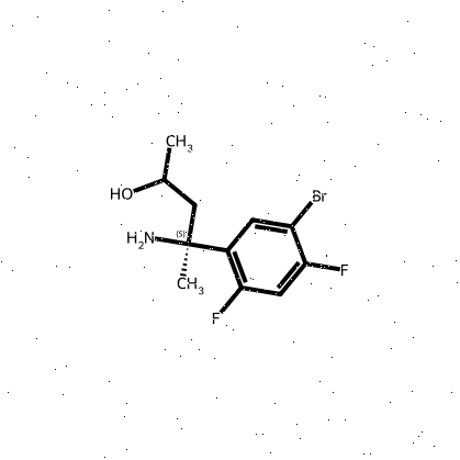 CC(O)C[C@](C)(N)c1cc(Br)c(F)cc1F